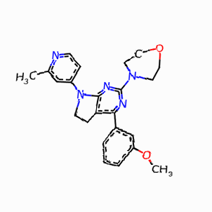 COc1cccc(-c2nc(N3CCOCC3)nc3c2CCN3c2ccnc(C)c2)c1